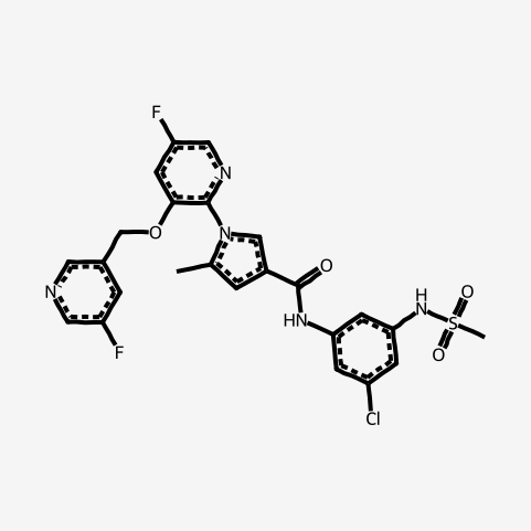 Cc1cc(C(=O)Nc2cc(Cl)cc(NS(C)(=O)=O)c2)cn1-c1ncc(F)cc1OCc1cncc(F)c1